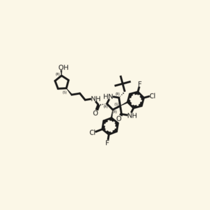 CC(C)(C)C[C@H]1N[C@@H](C(=O)NCCC[C@H]2CC[C@@H](O)C2)[C@H](c2ccc(F)c(Cl)c2)[C@@]12C(=O)Nc1cc(Cl)c(F)cc12